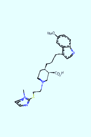 COc1ccc2nccc(CCC[C@@H]3CCN(CCSc4nccn4C)C[C@@H]3C(=O)O)c2c1